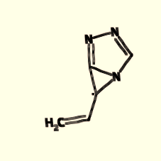 C=C[C]1c2nncn21